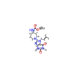 CC(C)=CCn1c(N2CCCC(NC(=O)OC(C)(C)C)CC2)nc2c1c(=O)n(C)c(=O)n2C